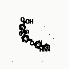 O=C(O)C1CCN(S(=O)(=O)c2cccc(COc3ccc(-c4ccn[nH]4)nc3)c2)C1